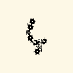 O=C(Nc1ccccn1)C1(COC(O)c2ccccc2)CCN(Cc2ccc(-c3noc(-c4ccc(-c5ccccc5)c(F)c4)n3)cc2)CC1